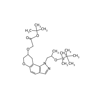 CC(Cn1ncc2ccc3c(c21)CC(OCC(=O)OC(C)(C)C)CO3)O[Si](C)(C)C(C)(C)C